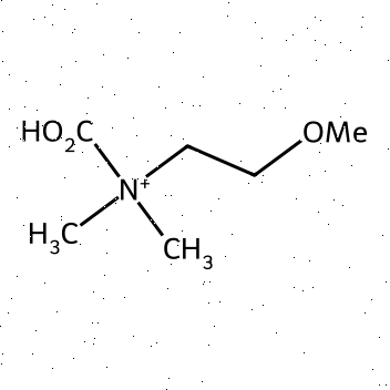 COCC[N+](C)(C)C(=O)O